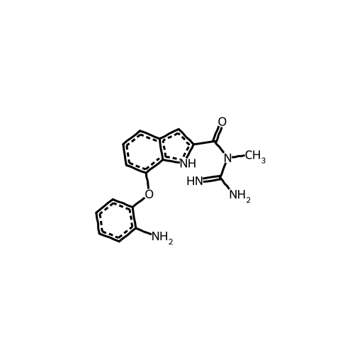 CN(C(=N)N)C(=O)c1cc2cccc(Oc3ccccc3N)c2[nH]1